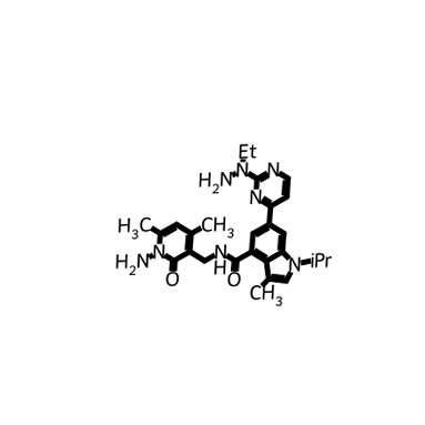 CCN(N)c1nccc(-c2cc(C(=O)NCc3c(C)cc(C)n(N)c3=O)c3c(C)cn(C(C)C)c3c2)n1